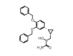 NC(=O)N(O)C[C@@H]1C[C@H]1c1ccc(OCc2ccccc2)c(OCc2ccccc2)c1